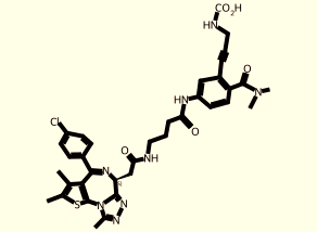 Cc1sc2c(c1C)C(c1ccc(Cl)cc1)=N[C@@H](CC(=O)NCCCC(=O)Nc1ccc(C(=O)N(C)C)c(C#CCNC(=O)O)c1)c1nnc(C)n1-2